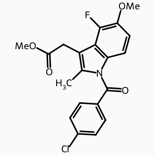 COC(=O)Cc1c(C)n(C(=O)c2ccc(Cl)cc2)c2ccc(OC)c(F)c12